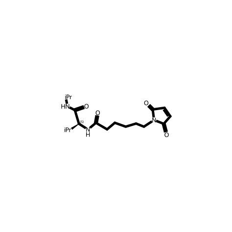 CC(C)NC(=O)[C@@H](NC(=O)CCCCCN1C(=O)C=CC1=O)C(C)C